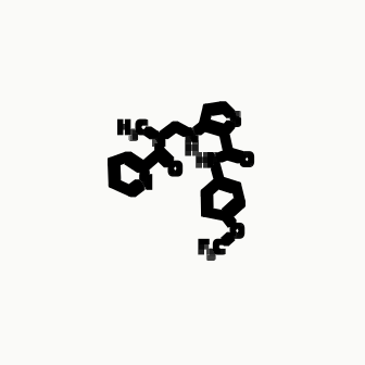 CN(CNc1ccsc1C(=O)Nc1ccc(OC(F)(F)F)cc1)C(=O)c1ccccn1